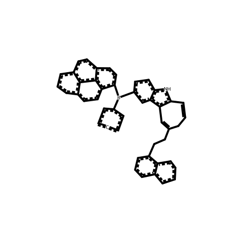 C1=Cc2[nH]c3ccc(B(c4ccccc4)c4ccc5ccc6cccc7ccc4c5c67)cc3c2C=C(CCc2cccc3ccccc23)C1